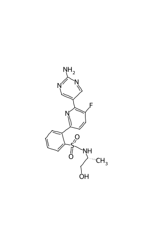 C[C@H](CO)NS(=O)(=O)c1ccccc1-c1ccc(F)c(-c2cnc(N)nc2)n1